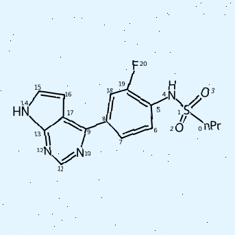 CCCS(=O)(=O)Nc1ccc(-c2ncnc3[nH]ccc23)cc1F